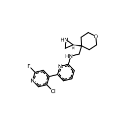 Fc1cc(-c2cccc(NCC3([C@H]4CN4)CCOCC3)n2)c(Cl)cn1